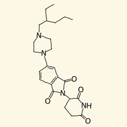 CCCC(CC)CN1CCN(c2ccc3c(c2)C(=O)N(C2CCC(=O)NC2=O)C3=O)CC1